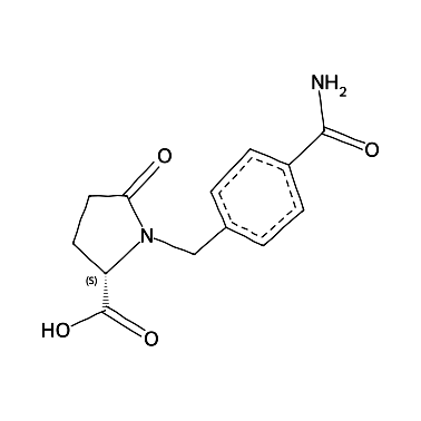 NC(=O)c1ccc(CN2C(=O)CC[C@H]2C(=O)O)cc1